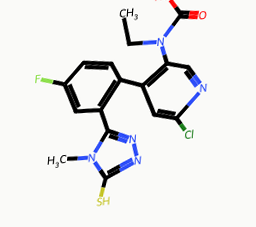 CCN(C(=O)O)c1cnc(Cl)cc1-c1ccc(F)cc1-c1nnc(S)n1C